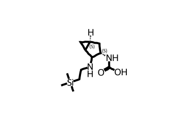 C[Si](C)(C)CCNC1C2C[C@H]2C[C@@H]1NC(=O)O